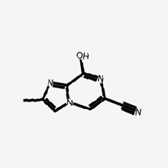 Cc1cn2cc(C#N)nc(O)c2n1